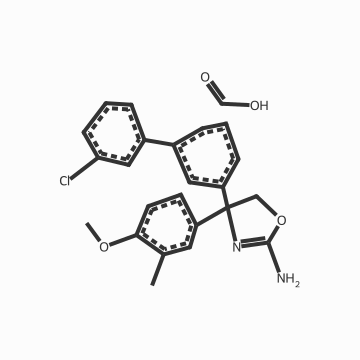 COc1ccc(C2(c3cccc(-c4cccc(Cl)c4)c3)COC(N)=N2)cc1C.O=CO